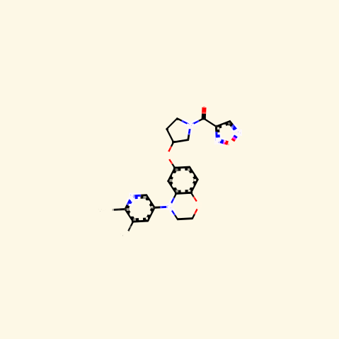 COc1ncc(N2CCOc3ccc(OC4CCN(C(=O)c5cnon5)C4)cc32)cc1C#N